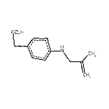 C=C(C)CNc1ccc(CC(=O)O)cc1